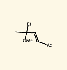 CCC(C)(C=CC(C)=O)OC